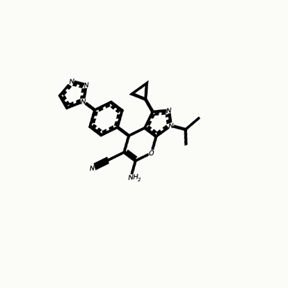 CC(C)n1nc(C2CC2)c2c1OC(N)=C(C#N)C2c1ccc(-n2ccnn2)cc1